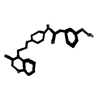 COc1cccc(CC(=O)NC2CCN(CCCN3C(=O)CSc4ccccc43)CC2)c1